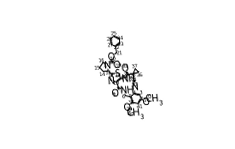 COc1ccc(CNC(=O)c2nc([C@H]3CCCN3C(=O)OCc3ccccc3)sc2NC(=O)C2(C#N)CC2)c(OC)c1